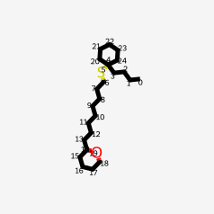 CCCCC1(SCCCCCCCCC2CCCCO2)CCCCC1